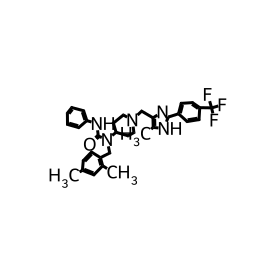 Cc1ccc(CN(C(=O)Nc2ccccc2)C2CCN(Cc3nc(-c4ccc(C(F)(F)F)cc4)[nH]c3C)CC2)c(C)c1